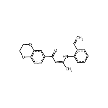 C=Cc1ccccc1N/C(C)=C\C(=O)c1ccc2c(c1)OCCO2